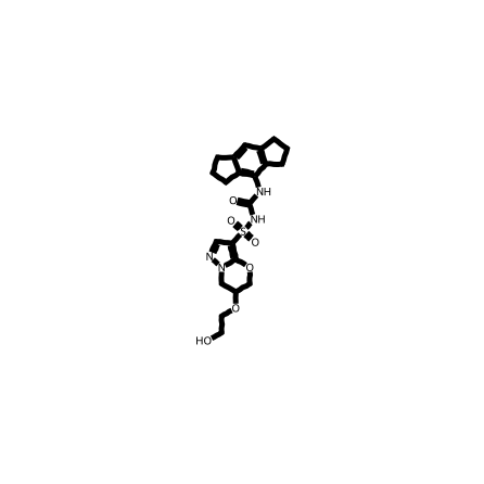 O=C(Nc1c2c(cc3c1CCC3)CCC2)NS(=O)(=O)c1cnn2c1OCC(OCCO)C2